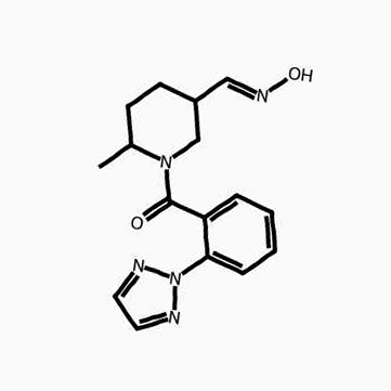 CC1CCC(C=NO)CN1C(=O)c1ccccc1-n1nccn1